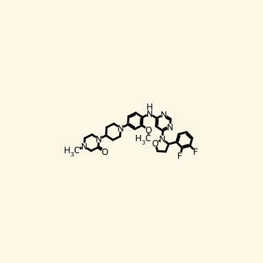 COc1cc(N2CCC(N3CCN(C)CC3=O)CC2)ccc1Nc1cc(N2OCCC2c2cccc(F)c2F)ncn1